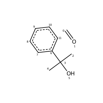 C=O.CC(C)(O)c1ccccc1